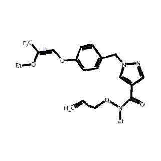 C=CCON(CC)C(=O)c1cnn(Cc2ccc(O/C=C(\OCC)C(F)(F)F)cc2)c1